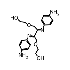 Nc1ccc(/N=C(COCCO)/C(COCCO)=N/c2ccc(N)cc2)cc1